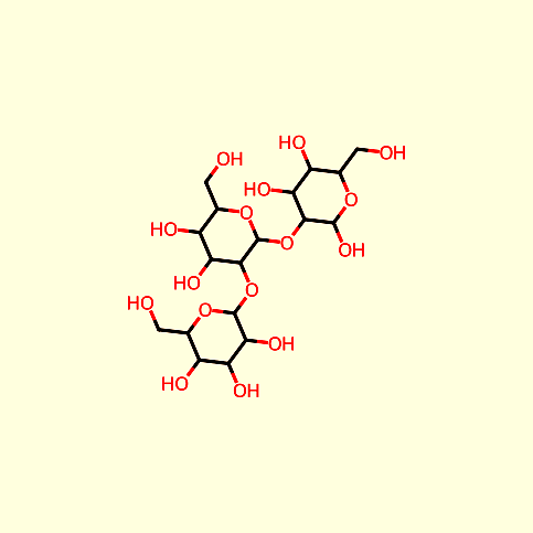 OCC1OC(OC2C(OC3C(O)OC(CO)C(O)C3O)OC(CO)C(O)C2O)C(O)C(O)C1O